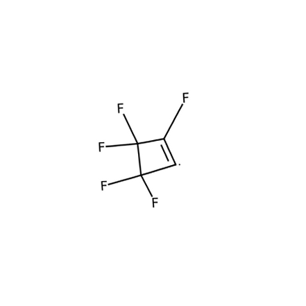 FC1=[C]C(F)(F)C1(F)F